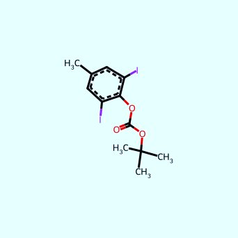 Cc1cc(I)c(OC(=O)OC(C)(C)C)c(I)c1